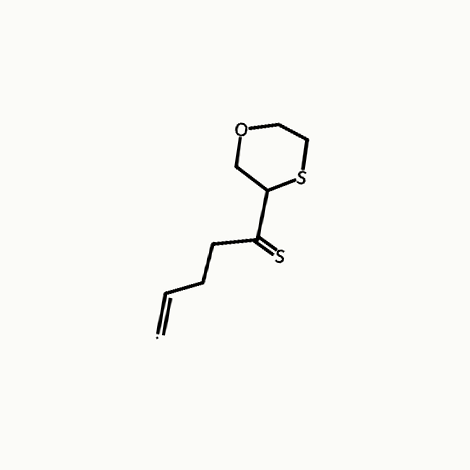 [CH]=CCCC(=S)C1COCCS1